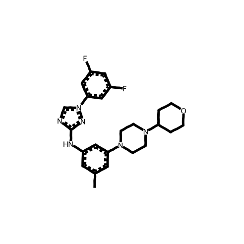 Cc1cc(Nc2ncn(-c3cc(F)cc(F)c3)n2)cc(N2CCN(C3CCOCC3)CC2)c1